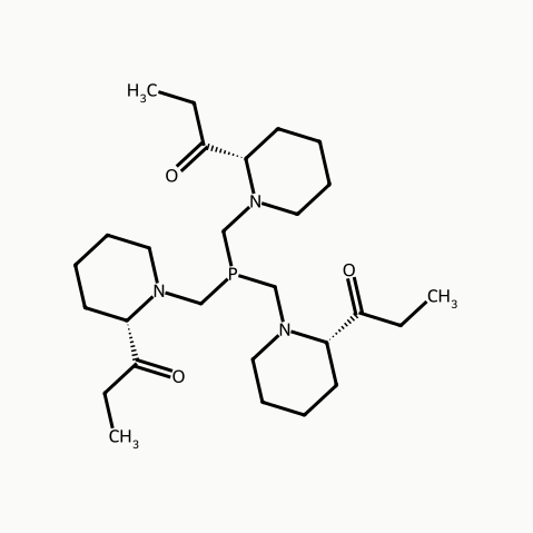 CCC(=O)[C@@H]1CCCCN1CP(CN1CCCC[C@H]1C(=O)CC)CN1CCCC[C@H]1C(=O)CC